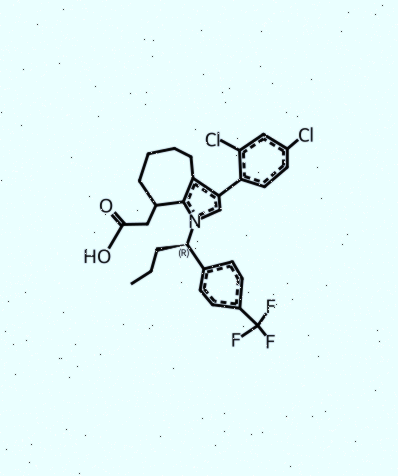 CCC[C@H](c1ccc(C(F)(F)F)cc1)n1cc(-c2ccc(Cl)cc2Cl)c2c1C(CC(=O)O)CCCC2